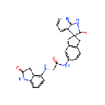 O=C(CNc1cccc2c1CC(=O)N2)Nc1ccc2c(c1)CC1(C2)C(=O)Nc2ncccc21